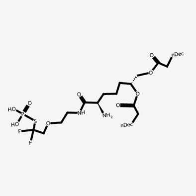 CCCCCCCCCCCC(=O)OC[C@@H](CCC[C@@H](N)C(=O)NCCOCC(F)(F)SP(=O)(O)O)OC(=O)CCCCCCCCCCC